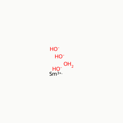 O.[OH-].[OH-].[OH-].[Sm+3]